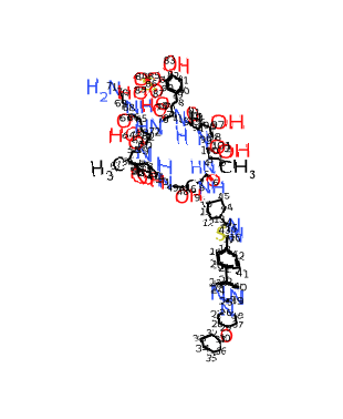 C[C@@H](O)[C@@H]1NC(=O)[C@@H](NC[C@H]2CC[C@H](c3nnc(-c4ccc(-c5cnc(N6CCC(OC7CCCCC7)CC6)nc5)cc4)s3)CC2)C[C@@H](O)CNC(=O)[C@@H]2[C@@H](O)[C@@H](C)CN2C(=O)[C@H]([C@H](O)CC(=O)NCCN)NC(=O)[C@H]([C@H](O)Cc2ccc(O)c(OS(=O)(=O)O)c2)NC(=O)[C@@H]2C[C@@H](O)CN2C1=O